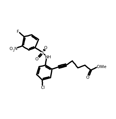 COC(=O)CCCC#Cc1cc(Cl)ccc1NS(=O)(=O)c1ccc(F)c([N+](=O)[O-])c1